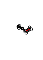 COC(=O)C12CCC(C(=O)N(C)Cc3ccc(B4OC(C)(C)C(C)(C)O4)cc3)(CC1)CC2